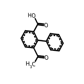 CC(=O)c1cccc(C(=O)O)c1-c1ccccc1